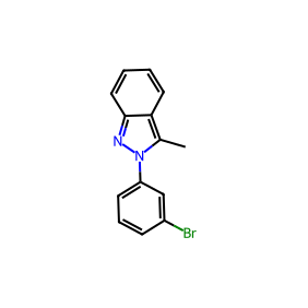 Cc1c2ccccc2nn1-c1cccc(Br)c1